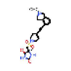 C[C@]1(CS(=O)(=O)N2CC=C(C#Cc3cccc4c3CCN(C=O)C4)CC2)NC(=O)NC1=O